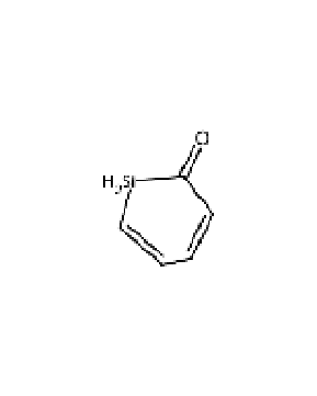 O=C1C=CC=C[SiH2]1